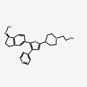 OCCN1CCC(c2cc(-c3ccncc3)c(-c3ccc4c(c3)CC/C4=N/O)o2)CC1